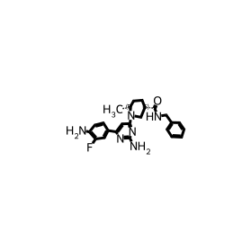 C[C@@H]1CC[C@H](C(=O)NCc2ccccc2)CN1c1cc(-c2ccc(N)c(F)c2)nc(N)n1